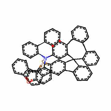 c1ccc(-c2ccccc2N(c2ccc3c(c2)C2(c4ccccc4-c4ccccc4-3)c3ccccc3-c3cc4c(cc32)sc2ccccc24)c2cccc3oc4ccccc4c23)cc1